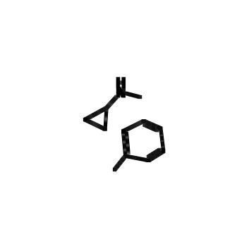 CNC1CC1.Cc1ccccc1